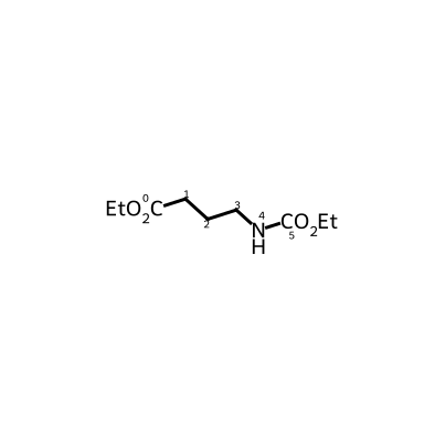 CCOC(=O)CCCNC(=O)OCC